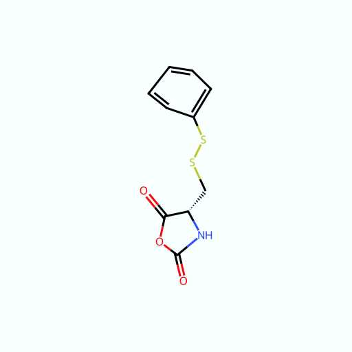 O=C1N[C@@H](CSSc2ccccc2)C(=O)O1